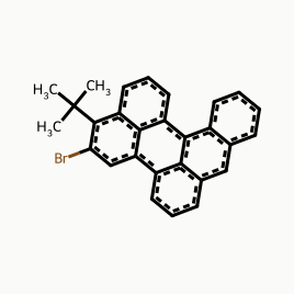 CC(C)(C)c1c(Br)cc2c3cccc4cc5ccccc5c(c5cccc1c25)c43